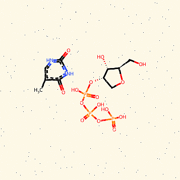 Cc1c[nH]c(=O)[nH]c1=O.O=P(O)(O)OP(=O)(O)OP(=O)(O)O[C@H]1CO[C@H](CO)[C@H]1O